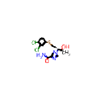 C[C@H](O)[C@@H](CCSc1ccc(Cl)c(Cl)c1)n1cnc(C(N)=O)c1